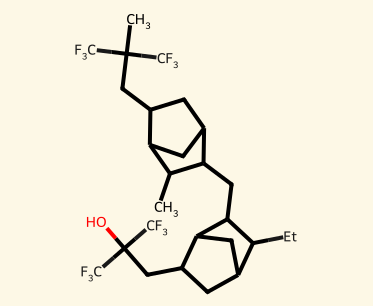 CCC1C2CC(CC(O)(C(F)(F)F)C(F)(F)F)C(C2)C1CC1C2CC(CC(C)(C(F)(F)F)C(F)(F)F)C(C2)C1C